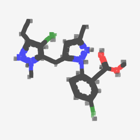 CCc1nn(C)c(Cc2cc(C)nn2-c2ccc(F)cc2C(=O)OC)c1Br